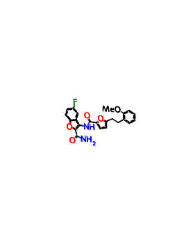 COc1ccccc1CCc1ccc(C(=O)Nc2c(C(N)=O)oc3ccc(F)cc23)o1